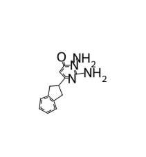 Nc1nc(C2Cc3ccccc3C2)cc(=O)n1N